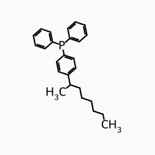 CCCCCCC(C)c1ccc(P(c2ccccc2)c2ccccc2)cc1